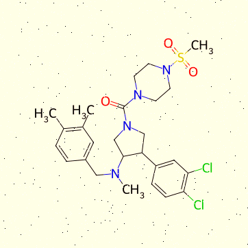 Cc1ccc(CN(C)C2CN(C(=O)N3CCN(S(C)(=O)=O)CC3)CC2c2ccc(Cl)c(Cl)c2)cc1C